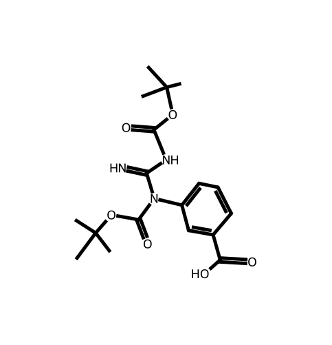 CC(C)(C)OC(=O)NC(=N)N(C(=O)OC(C)(C)C)c1cccc(C(=O)O)c1